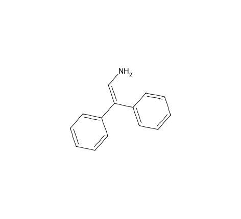 NC=C(c1ccccc1)c1ccccc1